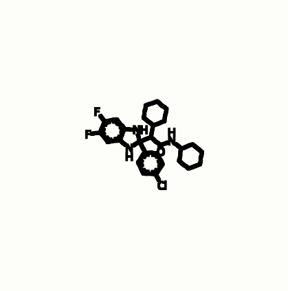 O=C(NC1CCCCC1)C(C1CCCCC1)C1(c2ccc(Cl)cc2)Nc2cc(F)c(F)cc2N1